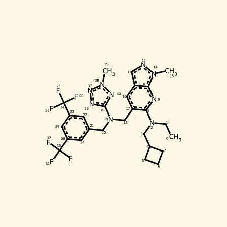 CCN(CC1CCC1)c1nc2c(cnn2C)cc1CN(Cc1cc(C(F)(F)F)cc(C(F)(F)F)c1)c1nnn(C)n1